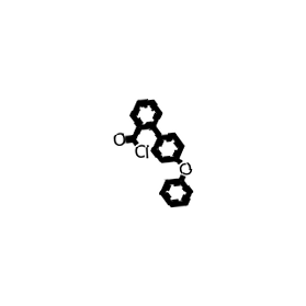 O=C(Cl)c1ccccc1-c1ccc(Oc2ccccc2)cc1